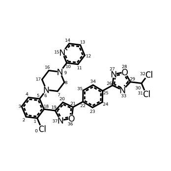 Clc1cccc(N2CCN(c3ccccn3)CC2)c1-c1cc(-c2ccc(-c3noc(C(Cl)Cl)n3)cc2)on1